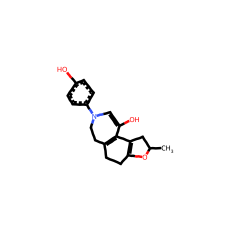 CC1CC2=C(CCC3=C2C(O)=CN(c2ccc(O)cc2)CC3)O1